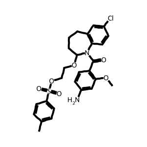 COc1cc(N)ccc1C(=O)N1c2ccc(Cl)cc2CCCC1OCCOS(=O)(=O)c1ccc(C)cc1